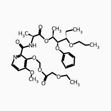 CCCO[C@@H](CC)[C@@H](Oc1ccccc1)[C@H](C)OC(=O)[C@H](C)NC(=O)c1nccc(OC)c1OCOC(=O)COCC